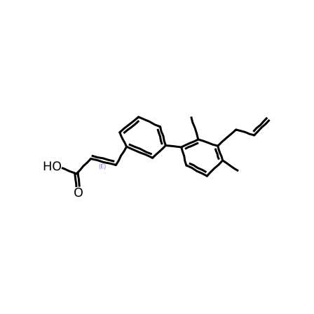 C=CCc1c(C)ccc(-c2cccc(/C=C/C(=O)O)c2)c1C